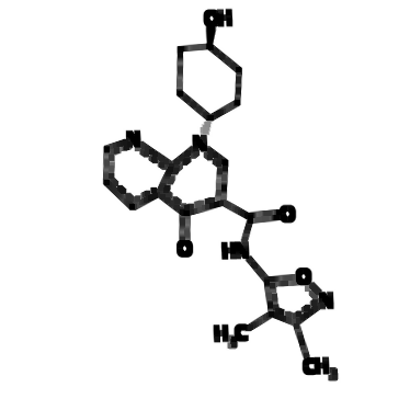 Cc1noc(NC(=O)c2cn([C@H]3CC[C@H](O)CC3)c3ncccc3c2=O)c1C